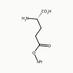 CCCOC(=O)CC[C@H](N)C(=O)O